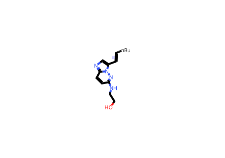 CCCC/C=C/c1cnc2ccc(NCCO)nn12